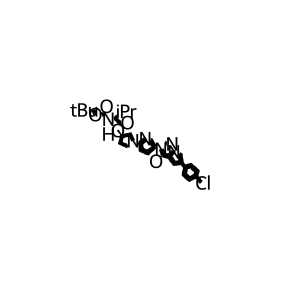 CC(C)[C@H](NC(=O)OC(C)(C)C)C(=O)O[C@@H]1CCN(c2ccc(-n3cnn4cc(-c5ccc(Cl)cc5)cc4c3=O)cn2)C1